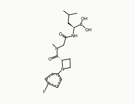 CC(C)C[C@H](NC(=O)CN(C)C(=O)[C@@H]1CCN1c1ccc(F)cc1)B(O)O